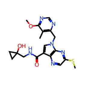 COc1ncnc(Cn2cc(C(=O)NCC3(O)CC3)c3ncc(SC)nc32)c1C